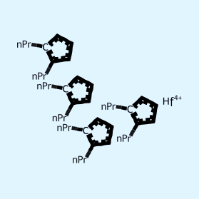 CCCc1ccc[c-]1CCC.CCCc1ccc[c-]1CCC.CCCc1ccc[c-]1CCC.CCCc1ccc[c-]1CCC.[Hf+4]